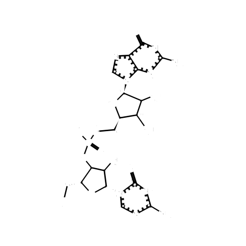 Nc1ncn([C@@H]2O[C@H](CO)C(OP(=O)(O)OC[C@H]3O[C@@H](n4cnc5c(=O)[nH]c(N)nc54)C(O)C3O)C2O)c(=O)n1